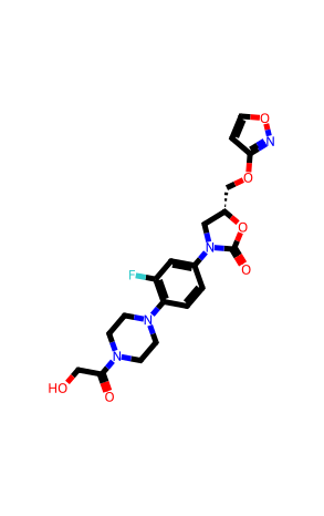 O=C(CO)N1CCN(c2ccc(N3C[C@H](COc4ccon4)OC3=O)cc2F)CC1